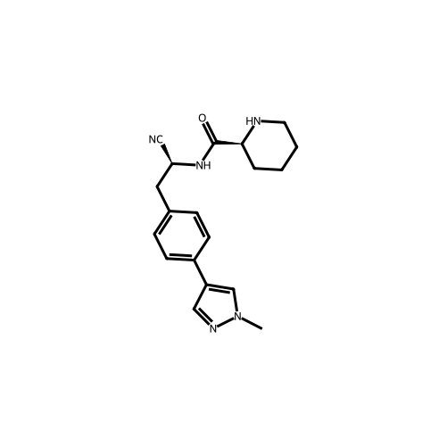 Cn1cc(-c2ccc(C[C@@H](C#N)NC(=O)[C@@H]3CCCCN3)cc2)cn1